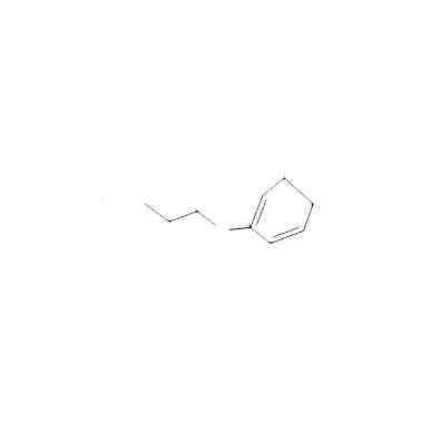 CCOC(=O)CCOC1=CC[CH]C=C1